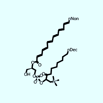 CCCCCCCCCC=CC=CC=CC=CC=CC=CC(=O)O[C@H](CO)COP(=O)([O-])OC(C[N+](C)(C)C)C(=O)CCCCCCCCCCCCCCCCC